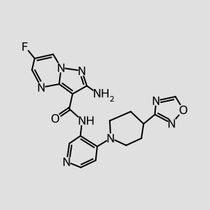 Nc1nn2cc(F)cnc2c1C(=O)Nc1cnccc1N1CCC(c2ncon2)CC1